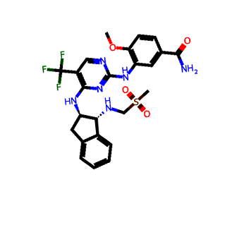 COc1ccc(C(N)=O)cc1Nc1ncc(C(F)(F)F)c(N[C@@H]2Cc3ccccc3[C@H]2NCS(C)(=O)=O)n1